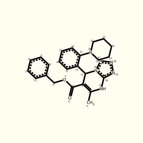 CC1=C(C(=O)OCc2ccccc2)C(c2ccccc2N2CCCCC2)n2nnnc2N1